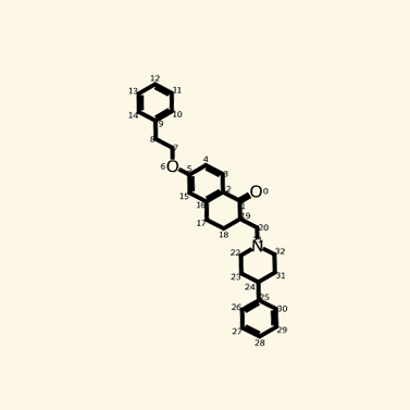 O=C1c2ccc(OCCc3ccccc3)cc2CCC1CN1CCC(c2ccccc2)CC1